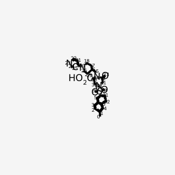 Cc1ccc2cc(S(=O)(=O)N3CC(=O)N(CC4CCN(c5ccncc5)CC4)[C@@H](C(=O)O)C3)ccc2c1